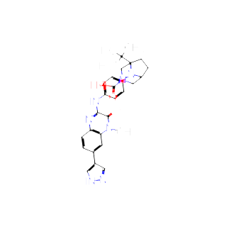 Cn1c(=O)c(Nc2ccc(N3C4CCC3(C(C)(C)C)CN(C(=O)O)C4)cc2)nc2ccc(-c3cn[nH]c3)cc21